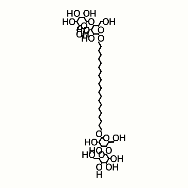 OCC1OC(O[C@H]2C(CO)OC(OCCCCCCCCCCCCCCCCCCCCCCO[C@@H]3OC(CO)[C@@H](O[C@H]4OC(CO)[C@@H](O)[C@H](O)C4O)[C@H](O)C3O)[C@H](O)C2O)[C@H](O)C(O)[C@H]1O